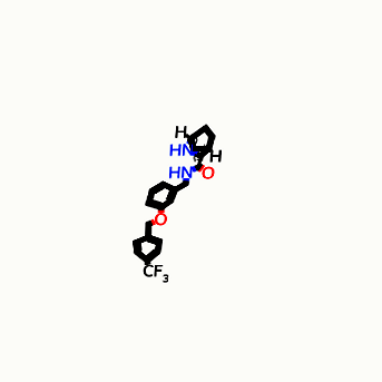 O=C(NCc1cccc(OCc2ccc(C(F)(F)F)cc2)c1)[C@H]1N[C@@H]2CC[C@H]1C2